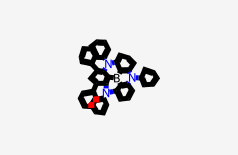 c1ccc(-c2cc(-c3ccccc3)c3c4c2N(c2ccccc2)c2cccc5c2B4c2c(cccc2N3c2ccccc2)N5c2ccccc2)cc1